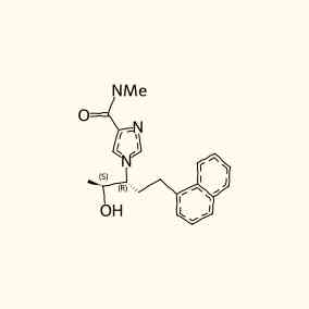 CNC(=O)c1cn([C@H](CCc2cccc3ccccc23)[C@H](C)O)cn1